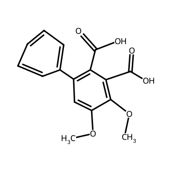 COc1cc(-c2ccccc2)c(C(=O)O)c(C(=O)O)c1OC